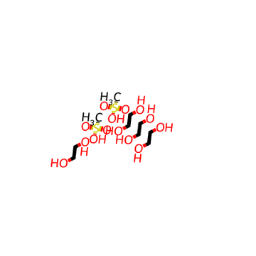 CS(=O)(=O)O.CS(=O)(=O)O.OCCO.OCCO.OCCO.OCCO